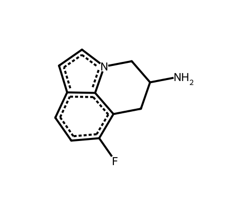 NC1Cc2c(F)ccc3ccn(c23)C1